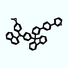 COc1ccc(N(c2ccc(C3(c4cccc(-c5ccc(-c6cccnc6)cc5)c4)c4ccccc4-c4ccccc43)cc2)c2cccc3ccccc23)cc1